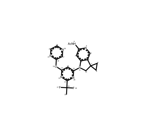 CC(=O)Nc1cc2c(cn1)C1(CC1)CN2c1cc(Oc2cnccn2)nc(C(C)(F)F)n1